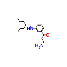 CCCC(CCC)CNc1cccc(C(=O)CCN)c1